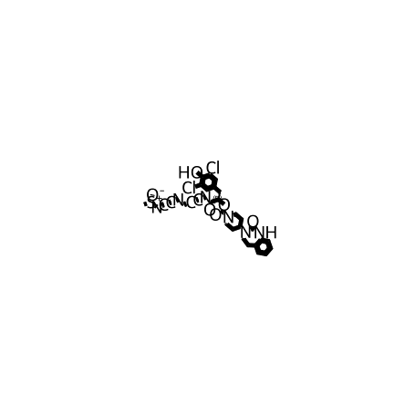 C[S+]([O-])N=C=C=NC=C=C=NC(=O)[C@@H](Cc1cc(Cl)c(O)c(Cl)c1)OC(=O)N1CCC(N2CCc3ccccc3NC2=O)CC1